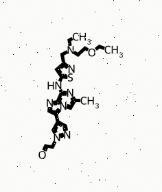 CCOCCN(CC)Cc1cc(Nc2nc(C)cn3c(-c4cnn(CC=O)c4)cnc23)sn1